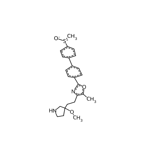 COC1(CCc2nc(-c3ccc(-c4ccc([S+](C)[O-])cc4)cc3)oc2C)CCNC1